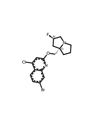 F[C@H]1CN2CCC[C@@]2(COc2cc(Cl)c3ccc(Br)cc3n2)C1